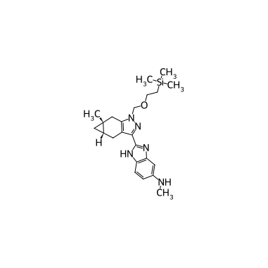 CNc1ccc2[nH]c(-c3nn(COCC[Si](C)(C)C)c4c3C[C@@H]3C[C@]3(C)C4)nc2c1